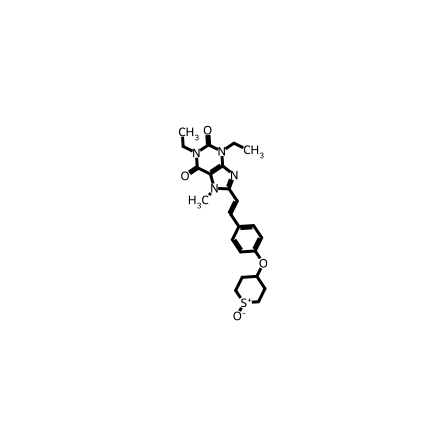 CCn1c(=O)c2c(nc(/C=C/c3ccc(OC4CC[S+]([O-])CC4)cc3)n2C)n(CC)c1=O